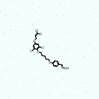 O/N=C/c1ccc(OCCCCCOc2c(Cl)cc(OCC=C(Cl)Cl)cc2Cl)cc1